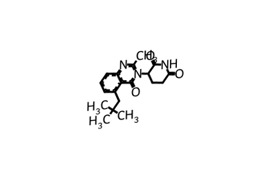 Cc1nc2cccc(CC(C)(C)C)c2c(=O)n1C1CCC(=O)NC1=O